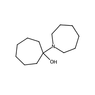 OC1(N2CCCCCC2)CCCCCC1